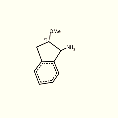 CO[C@H]1Cc2ccccc2C1N